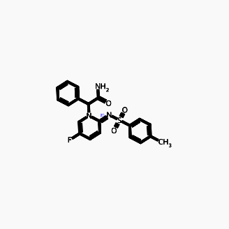 Cc1ccc(S(=O)(=O)/N=c2\ccc(F)cn2C(C(N)=O)c2ccccc2)cc1